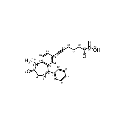 CN1C(=O)CN=C(c2ccccc2)c2cc(C#CCCCC(=O)NO)ccc21